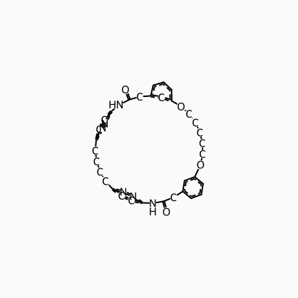 O=C1Cc2cccc(c2)OCCCCCOc2cccc(c2)CC(=O)Nc2ccc(nn2)CCCCc2ccc(nn2)N1